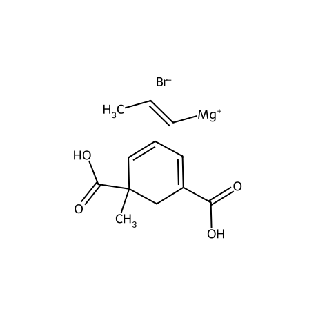 CC1(C(=O)O)C=CC=C(C(=O)O)C1.CC=[CH][Mg+].[Br-]